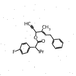 C#CC(OC(=O)C(c1ccc(F)cc1)C(C)C)C(C)=CCc1ccccc1